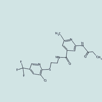 CCC(=O)Nc1cc(C(=O)NCCSc2ncc(C(F)(F)F)cc2Cl)cc(C)n1